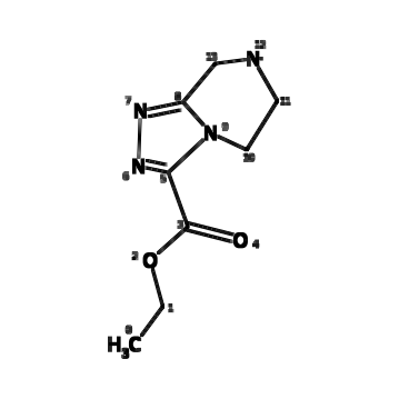 CCOC(=O)c1nnc2n1CC[N]C2